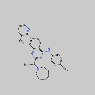 CC(c1nc(Nc2ccc(C(F)(F)F)cc2)c2ccc(-c3ncccc3C(F)(F)F)cc2n1)N1CCCCCC1